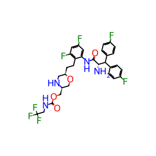 N[C@H](C(=O)Nc1cc(F)cc(F)c1CC[C@@H]1CN[C@H](COC(=O)NCC(F)(F)F)CO1)C(c1ccc(F)cc1)c1ccc(F)cc1